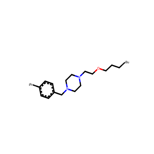 CCC(C)CCCOCCN1CCN(Cc2ccc(C(C)C)cc2)CC1